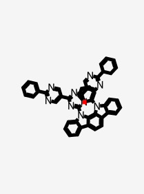 C1=CCC(c2ncc(-c3nc(-c4cnc(-c5ccccc5)nc4)nc(-n4c5ccccc5c5ccc6c7ccccc7n(-c7ccccc7)c6c54)n3)cn2)C=C1